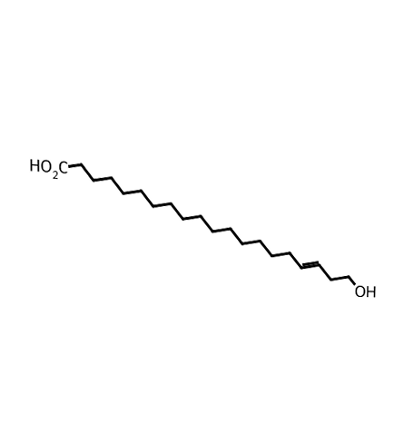 O=C(O)CCCCCCCCCCCCCCCC=CCCO